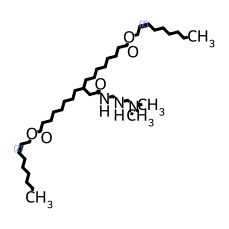 CCCCCC/C=C\COC(=O)CCCCCCCC(CCCCCCCC(=O)OC/C=C\CCCCCC)CC(=O)NCNCN(C)C